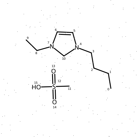 CCCCN1C=CN(CC)C1.CS(=O)(=O)O